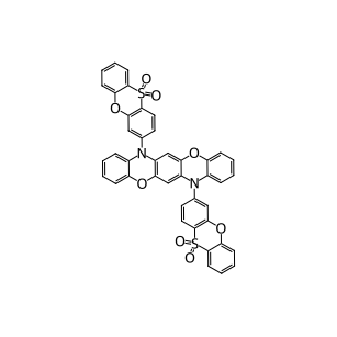 O=S1(=O)c2ccccc2Oc2cc(-n3c4ccccc4oc4cc5c(cc43)oc3ccccc3n5-c3ccc4c(c3)Oc3ccccc3S4(=O)=O)ccc21